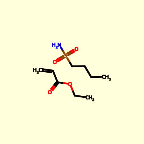 C=CC(=O)OCC.CCCCS(N)(=O)=O